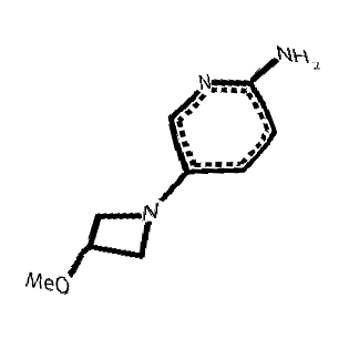 COC1CN(c2ccc(N)nc2)C1